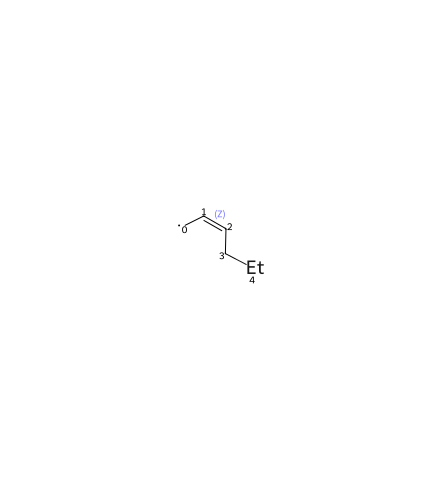 [CH2]/C=C\CC[CH2]